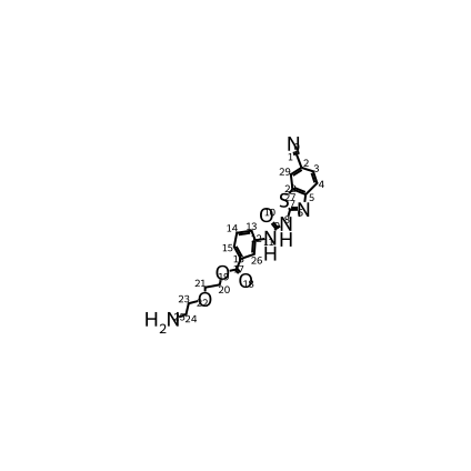 N#Cc1ccc2nc(NC(=O)Nc3cccc(C(=O)OCCOCCN)c3)sc2c1